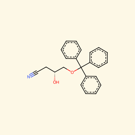 N#CC[C@@H](O)COC(c1ccccc1)(c1ccccc1)c1ccccc1